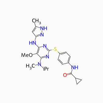 COc1c(Nc2cc(C)[nH]n2)nc(Sc2ccc(NC(=O)C3CC3)cc2)nc1N(C)C(C)C